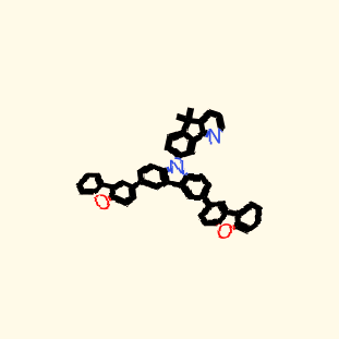 CC1(C)c2ccc(-n3c4ccc(-c5ccc6oc7ccccc7c6c5)cc4c4cc(-c5ccc6oc7ccccc7c6c5)ccc43)cc2-c2ncccc21